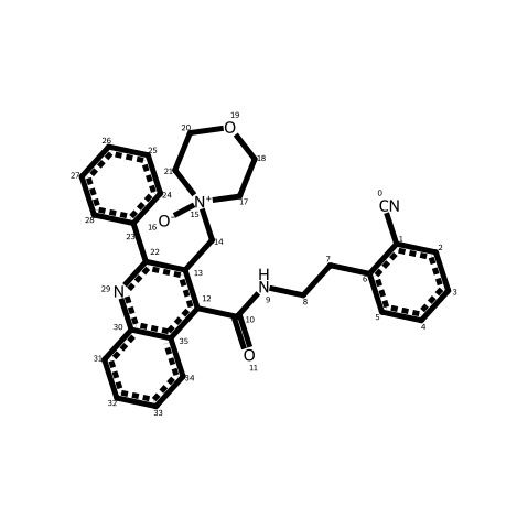 N#Cc1ccccc1CCNC(=O)c1c(C[N+]2([O-])CCOCC2)c(-c2ccccc2)nc2ccccc12